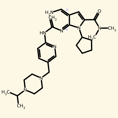 C=C(/N=C1\C(=C/N)C=C(C(=O)N(C)C)N1C1CCCC1)Nc1ccc(CN2CCN(C(C)C)CC2)cn1